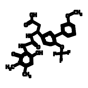 COc1cccc(-c2cc(C(CC(=O)O)NC(=O)Nc3c(O)cc(C)n(C)c3=O)ccc2OC(F)(F)F)c1